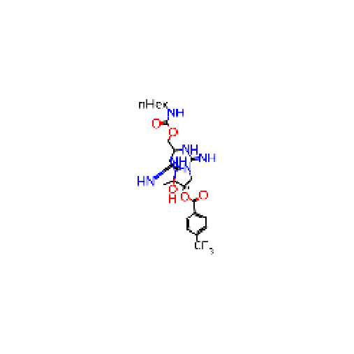 CCCCCCNC(=O)OCC1NC(=N)N2C[C@H](OC(=O)c3ccc(C(F)(F)F)cc3)C(C)C23C1NC(=N)N3O